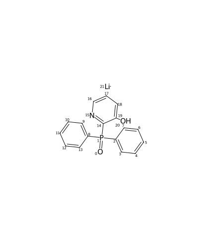 O=P(c1ccccc1)(c1ccccc1)c1ncccc1O.[Li]